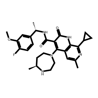 COc1cc([C@H](C)NC(=O)c2c(N3CCN[C@@H](C)CC3)c3cc(C)nc(C4CC4)c3[nH]c2=O)ccc1F